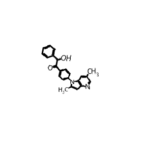 Cc1cnc2cc(C)n(-c3ccc(C(=O)C(O)c4ccccc4)cc3)c2c1